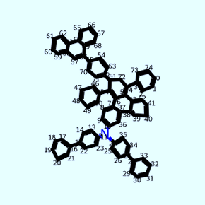 c1ccc(C2=c3c(c4ccc(N(c5ccc(-c6ccccc6)cc5)c5ccc(-c6ccccc6)cc5)cc4c4ccccc34)=C(c3ccccc3)C(c3ccc(-c4cc5ccccc5c5ccccc45)cc3)C2)cc1